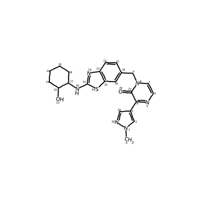 Cn1cc(-c2nccn(Cc3ccc4nc(NC5CCCCC5O)sc4c3)c2=O)cn1